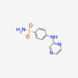 NS(=O)(=O)c1ccc(Nc2cnccn2)cc1